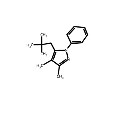 Cc1nn(-c2ccccc2)c(CC(C)(C)C)c1C